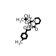 Cc1ccc(C(=O)CNC(=O)[C@@H]2CCCCN2C(=O)OC(C)(C)C)cc1